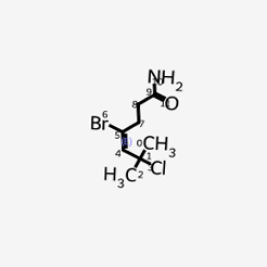 CC(C)(Cl)/C=C(/Br)CCC(N)=O